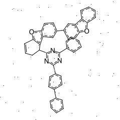 C1=Cc2oc3ccc(-c4ccc5oc6ccccc6c5c4)cc3c2C(c2nc(-c3ccccc3)nc(-c3ccc(-c4ccccc4)cc3)n2)C1